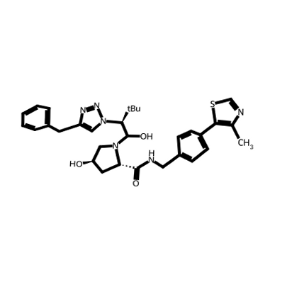 Cc1ncsc1-c1ccc(CNC(=O)[C@@H]2C[C@@H](O)CN2C(O)[C@@H](n2cc(Cc3ccccc3)nn2)C(C)(C)C)cc1